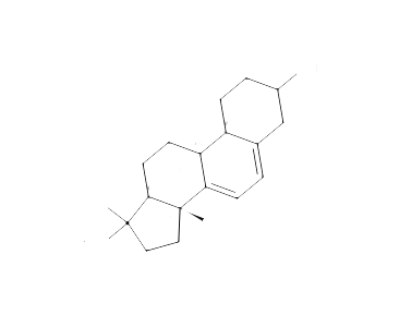 CC(=O)OC1(O)CC[C@H]2C3=CC=C4CC(O)CC[C@]4(C)[C@@H]3CC[C@@]21C